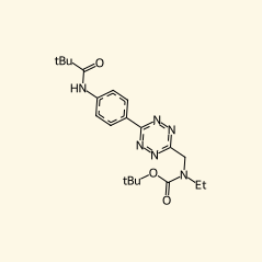 CCN(Cc1nnc(-c2ccc(NC(=O)C(C)(C)C)cc2)nn1)C(=O)OC(C)(C)C